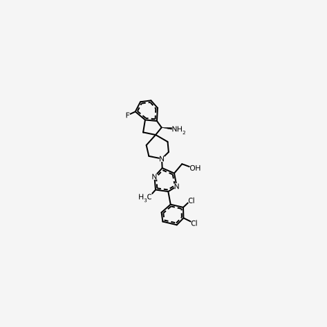 Cc1nc(N2CCC3(CC2)Cc2c(F)cccc2[C@H]3N)c(CO)nc1-c1cccc(Cl)c1Cl